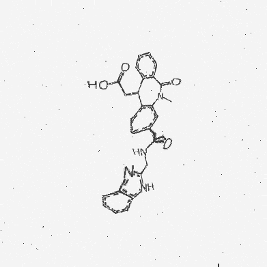 CN1C(=O)c2ccccc2C(CC(=O)O)c2ccc(C(=O)NCc3nc4ccccc4[nH]3)cc21